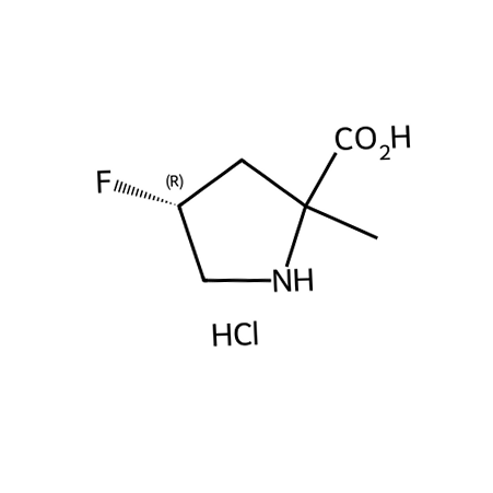 CC1(C(=O)O)C[C@@H](F)CN1.Cl